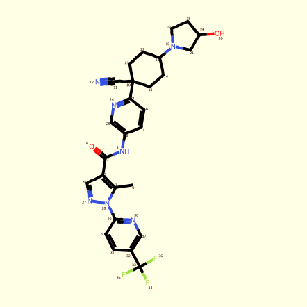 Cc1c(C(=O)Nc2ccc(C3(C#N)CCC(N4CCC(O)C4)CC3)nc2)cnn1-c1ccc(C(F)(F)F)cn1